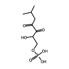 CC(C)CC(=O)C(=O)C(O)COP(=O)(O)O